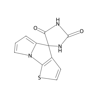 O=C1NC(=O)C2(N1)c1ccsc1-n1cccc12